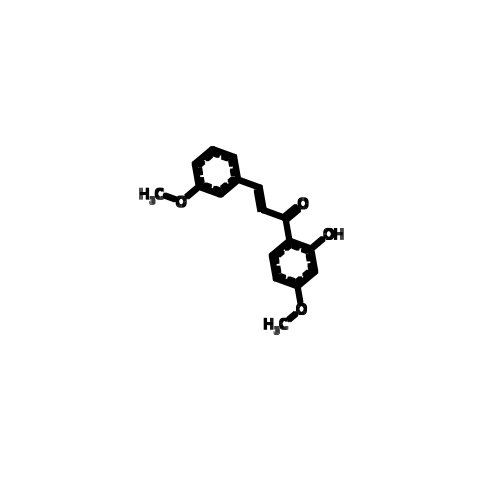 COc1cccc(C=CC(=O)c2ccc(OC)cc2O)c1